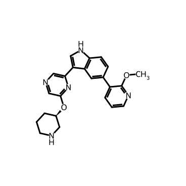 COc1ncccc1-c1ccc2[nH]cc(-c3cncc(O[C@@H]4CCCNC4)n3)c2c1